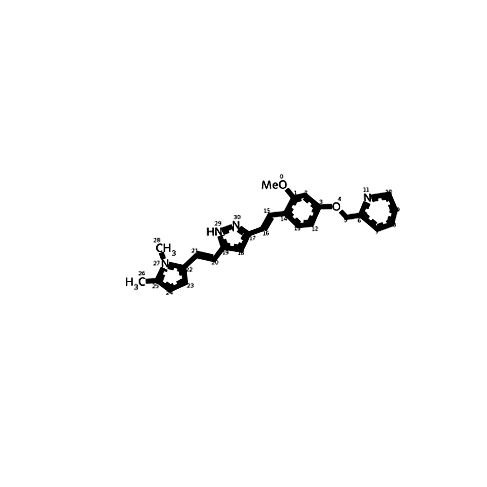 COc1cc(OCc2ccccn2)ccc1C=Cc1cc(C=Cc2ccc(C)n2C)[nH]n1